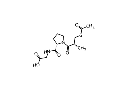 CC(=O)SC[C@@H](C)C(=O)N1CCC[C@H]1C(=O)NCC(=O)O